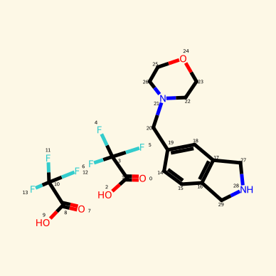 O=C(O)C(F)(F)F.O=C(O)C(F)(F)F.c1cc2c(cc1CN1CCOCC1)CNC2